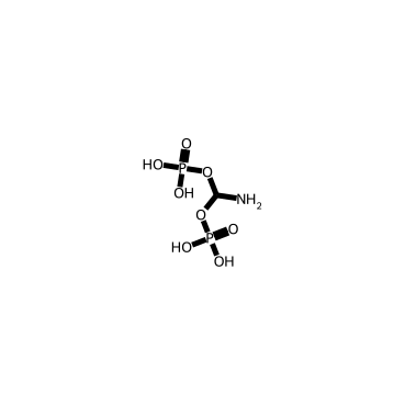 NC(OP(=O)(O)O)OP(=O)(O)O